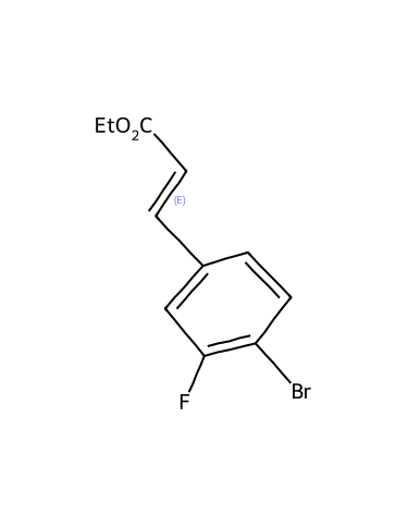 CCOC(=O)/C=C/c1ccc(Br)c(F)c1